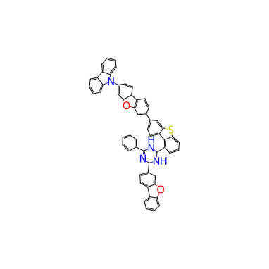 C1=CC2c3ccc(-c4ccc5c(c4)sc4cccc(C6NC(c7ccccc7)=NC(c7ccc8c(c7)oc7ccccc78)N6)c45)cc3OC2C=C1n1c2ccccc2c2ccccc21